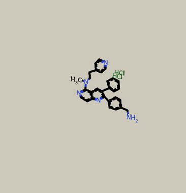 CN(CCc1ccncc1)c1nccc2nc(-c3ccc(CN)cc3)c(-c3ccccc3)cc12.Cl.Cl